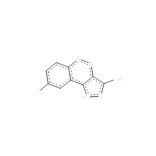 Oc1n[nH]c2c1nnc1ccc(Br)cc12